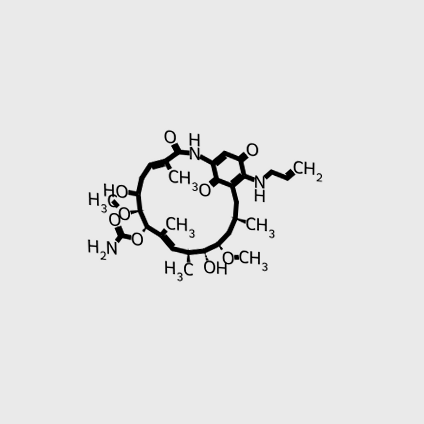 C=CCNC1=C2C[C@@H](C)C[C@H](OC)[C@H](O)[C@@H](C)/C=C(\C)[C@H](OC(N)=O)[C@@H](OC)C(O)C/C=C(\C)C(=O)NC(=CC1=O)C2=O